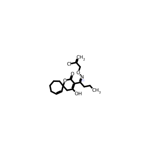 C=C(Cl)CO/N=C(/CCC)C1=C(O)CC2(C=CCCCC2)OC1=O